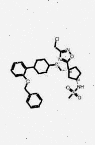 CS(=O)(=O)N[C@H]1CC[C@](COC2CCC(c3ccccc3OCc3ccccc3)CC2)(c2nc(CCl)no2)C1